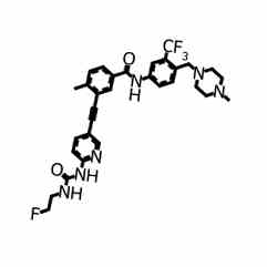 Cc1ccc(C(=O)Nc2ccc(CN3CCN(C)CC3)c(C(F)(F)F)c2)cc1C#Cc1ccc(NC(=O)NCCF)nc1